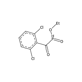 CCO[PH](=O)C(=O)c1c(Cl)cccc1Cl